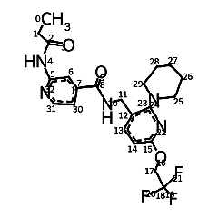 CCC(=O)Nc1cc(C(=O)NCc2ccc(OCC(F)(F)F)nc2N2CCCCC2)ccn1